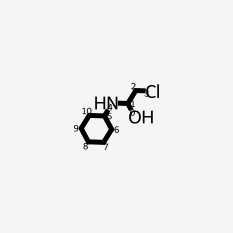 OC(CCl)NC1CCCCC1